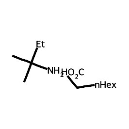 CCC(C)(C)N.CCCCCCCC(=O)O